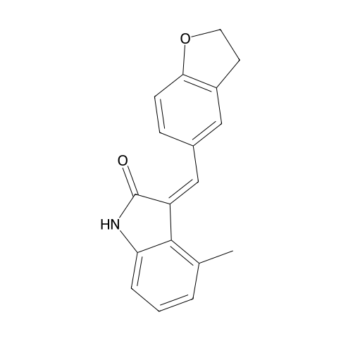 Cc1cccc2c1/C(=C/c1ccc3c(c1)CCO3)C(=O)N2